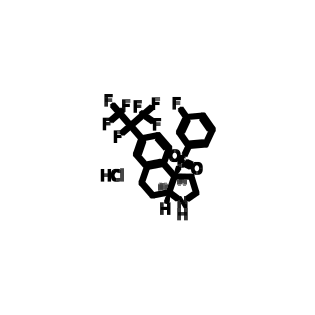 Cl.O=S(=O)(c1cccc(F)c1)[C@@]12CCN[C@@H]1CCc1cc(C(F)(C(F)(F)F)C(F)(F)F)ccc12